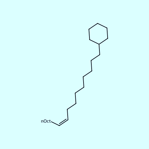 CCCCCCCC/C=C\CCCCCCCCC1CCCCC1